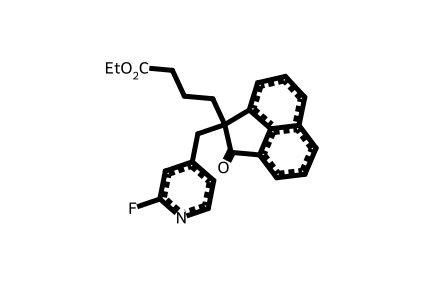 CCOC(=O)CCCC1(Cc2ccnc(F)c2)C(=O)c2cccc3cccc1c23